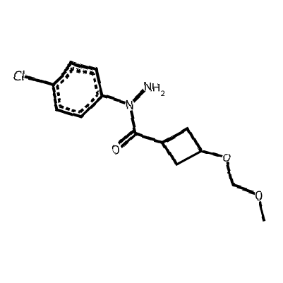 COCOC1CC(C(=O)N(N)c2ccc(Cl)cc2)C1